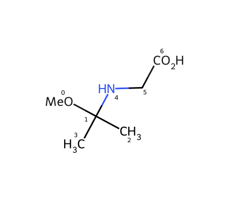 COC(C)(C)NCC(=O)O